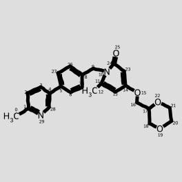 Cc1ccc(-c2ccc(Cn3c(C)cc(OCC4COCCO4)cc3=O)cc2)cn1